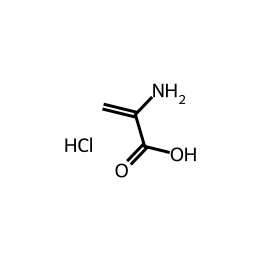 C=C(N)C(=O)O.Cl